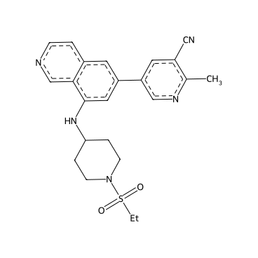 CCS(=O)(=O)N1CCC(Nc2cc(-c3cnc(C)c(C#N)c3)cc3ccncc23)CC1